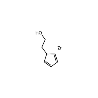 OCCC1C=CC=C1.[Zr]